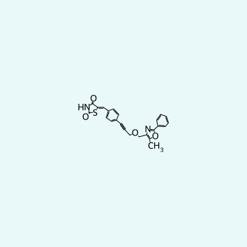 Cc1oc(-c2ccccc2)nc1COCC#Cc1ccc(/C=C2\SC(=O)NC2=O)cc1